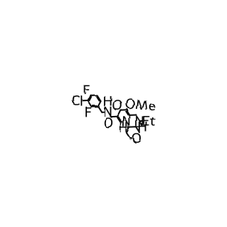 CCN1Cc2c(OC)c(=O)c(C(=O)NCc3ccc(F)c(Cl)c3F)cn2[C@H]2CCOC[C@H]21